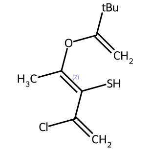 C=C(Cl)/C(S)=C(\C)OC(=C)C(C)(C)C